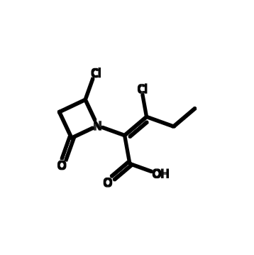 CCC(Cl)=C(C(=O)O)N1C(=O)CC1Cl